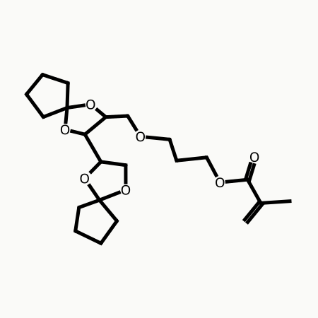 C=C(C)C(=O)OCCCOCC1OC2(CCCC2)OC1C1COC2(CCCC2)O1